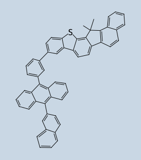 CC1(C)c2c(ccc3ccccc23)-c2ccc3c(sc4ccc(-c5cccc(-c6c7ccccc7c(-c7ccc8ccccc8c7)c7ccccc67)c5)cc43)c21